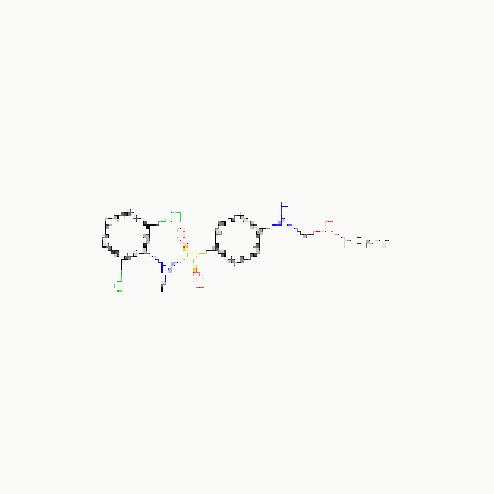 CCCCCOCNc1ccc(S(=O)(=O)N(C)c2c(Cl)cccc2Cl)cc1